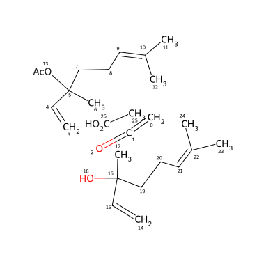 C=C=O.C=CC(C)(CCC=C(C)C)OC(C)=O.C=CC(C)(O)CCC=C(C)C.CC(=O)O